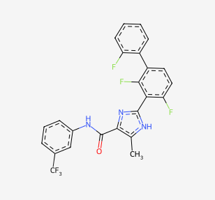 Cc1[nH]c(-c2c(F)ccc(-c3ccccc3F)c2F)nc1C(=O)Nc1cccc(C(F)(F)F)c1